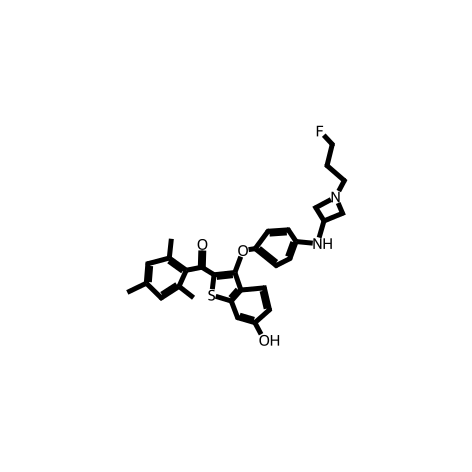 Cc1cc(C)c(C(=O)c2sc3cc(O)ccc3c2Oc2ccc(NC3CN(CCCF)C3)cc2)c(C)c1